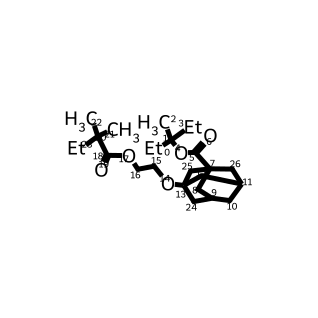 CCC(C)(CC)OC(=O)C12CC3CC(CC(OCCOC(=O)C(C)(C)CC)(C3)C1)C2